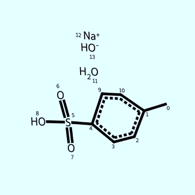 Cc1ccc(S(=O)(=O)O)cc1.O.[Na+].[OH-]